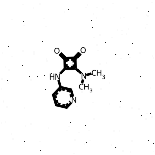 CN(C)c1c(Nc2cccnc2)c(=O)c1=O